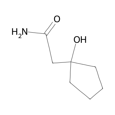 NC(=O)CC1(O)CCCC1